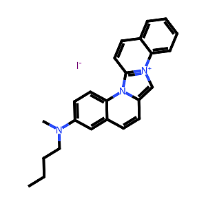 CCCCN(C)c1ccc2c(ccc3c[n+]4c5ccccc5ccc4n32)c1.[I-]